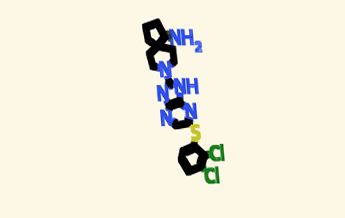 N[C@@H]1CCCC12CCN(c1nc3ncc(Sc4cccc(Cl)c4Cl)nc3[nH]1)CC2